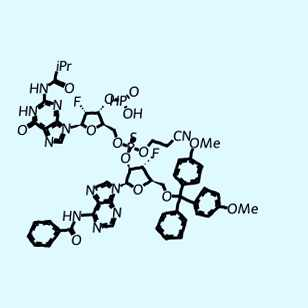 COc1ccc(C(OC[C@H]2O[C@@H](n3cnc4c(NC(=O)c5ccccc5)ncnc43)[C@H](OP(=S)(OCCC#N)OC[C@H]3O[C@@H](n4cnc5c(=O)[nH]c(NC(=O)C(C)C)nc54)[C@H](F)[C@@H]3O[PH](=O)O)[C@@H]2F)(c2ccccc2)c2ccc(OC)cc2)cc1